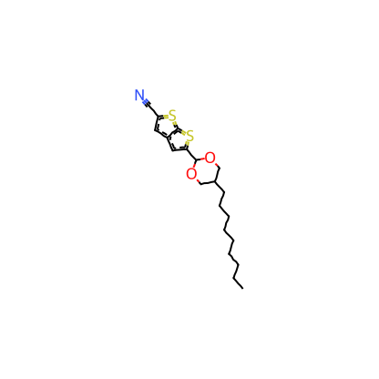 CCCCCCCCCC1COC(c2cc3cc(C#N)sc3s2)OC1